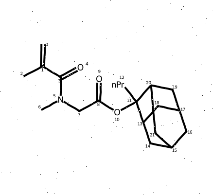 C=C(C)C(=O)N(C)CC(=O)OC1(CCC)C2CC3CC(C2)CC1C3